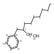 CCCCCCCC(O)Cc1cccnc1.Cl